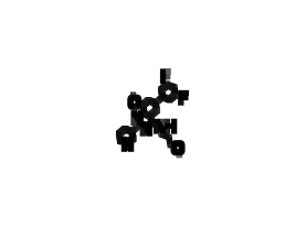 COCCCNc1nc(-c2cccnc2)nc2c(OC)cc(-c3cc(F)cc(F)c3)cc12